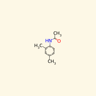 CC(=O)Nc1ccc(C)cc1C